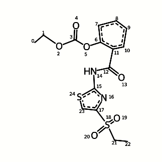 CCOC(=O)Oc1ccccc1C(=O)Nc1nc(S(=O)(=O)CC)cs1